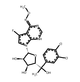 CO/N=c1\nc[nH]c2c1c(F)cn2[C@@H]1O[C@H](C(C)(O)c2ccc(Cl)c(Cl)c2)[C@@H](O)[C@H]1O